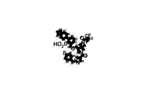 CC(C)(C(=O)N1CC2(CN(C(=O)c3cnn(Cc4ccc(F)cc4)c3)CC2COCc2cccc(C3CCC4(CCC4)CC3)c2C(=O)O)C1)C(F)(F)F